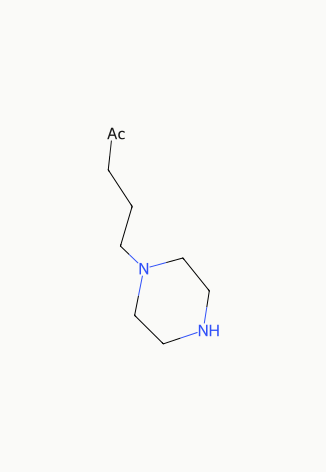 CC(=O)CCCN1CCNCC1